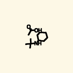 CC(=O)O.CC(C)(C)NC1CCCCC1